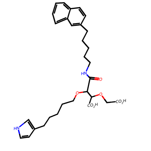 O=C(O)COC(C(=O)O)C(OCCCCCc1cc[nH]c1)C(=O)NCCCCCc1ccc2ccccc2c1